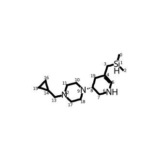 C[SiH](C)CC1=CNC[C@H](N2CCN(CC3CC3)CC2)C1